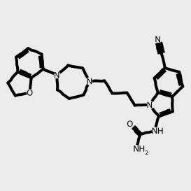 N#Cc1ccc2cc(NC(N)=O)n(CCCCN3CCCN(c4cccc5c4OCC5)CC3)c2c1